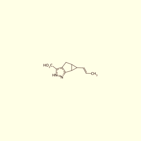 CC=CC1C2Cc3c(n[nH]c3C(=O)O)C12